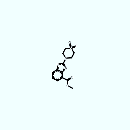 COC(=O)c1cccc2oc(N3CCS(=O)(=O)CC3)nc12